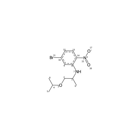 CC(COC(C)C)Nc1cc(Br)ccc1[N+](=O)[O-]